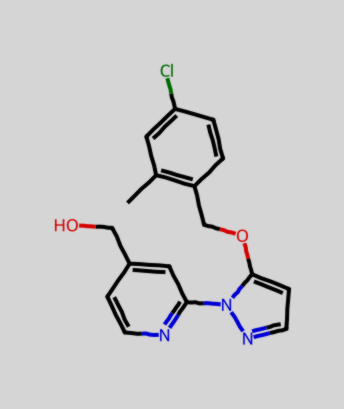 Cc1cc(Cl)ccc1COc1ccnn1-c1cc(CO)ccn1